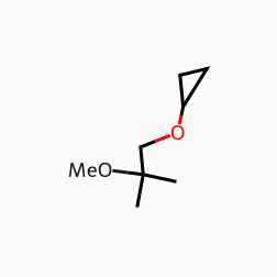 [CH2]OC(C)(C)COC1CC1